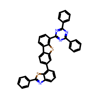 c1ccc(-c2nc(-c3ccccc3)nc(-c3cccc4c3sc3cc(-c5cccc6nc(-c7ccccc7)sc56)ccc34)n2)cc1